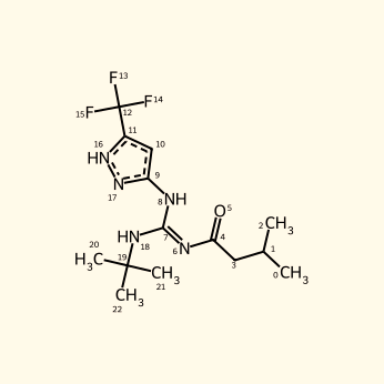 CC(C)CC(=O)/N=C(\Nc1cc(C(F)(F)F)[nH]n1)NC(C)(C)C